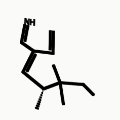 C=C/C(C=N)=C\[C@@H](C)C(C)(C)CC